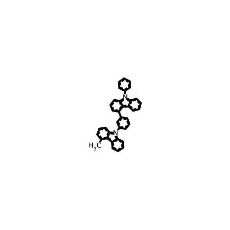 Cc1cccc2c1c1ccccc1n2-c1cccc(-c2cccc3c2c2ccccc2n3-c2ccccc2)c1